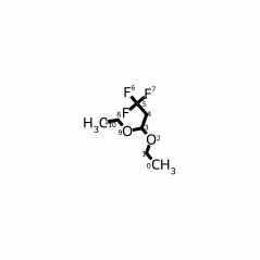 CCOC(CC(F)(F)F)OCC